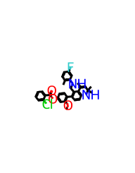 COc1cc(OC(=O)c2ccccc2Cl)ccc1-c1ccc2c(c1CNc1cc(F)ccc1C)C(C)=CC(C)(C)N2